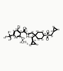 COc1nc(C(F)(F)F)cc(Cl)c1C(=O)NCC1(CC2CC2)CCC(S(=O)(=O)CC2CC2)CC1